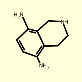 Nc1ccc(N)c2c1CCNC2